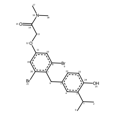 CC(C)c1cc(Cc2c(Br)cc(OCC(=O)N(C)C)cc2Br)ccc1O